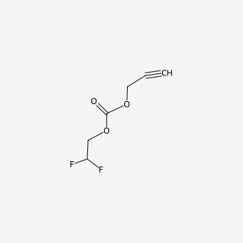 C#CCOC(=O)OCC(F)F